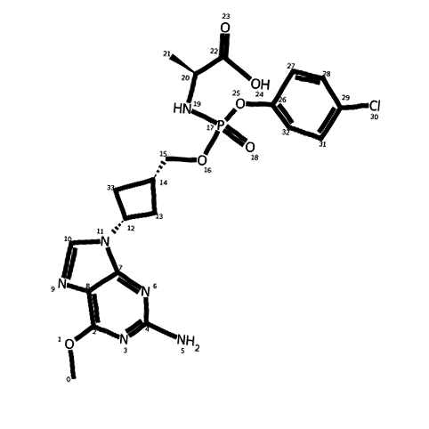 COc1nc(N)nc2c1ncn2[C@H]1C[C@@H](COP(=O)(N[C@@H](C)C(=O)O)Oc2ccc(Cl)cc2)C1